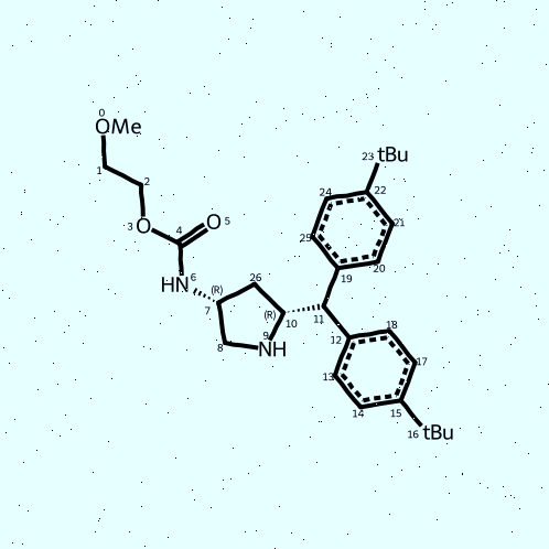 COCCOC(=O)N[C@H]1CN[C@@H](C(c2ccc(C(C)(C)C)cc2)c2ccc(C(C)(C)C)cc2)C1